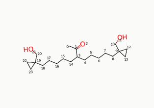 CC(=O)C(CCCCCC1(CO)CC1)CCCCCC1(CO)CC1